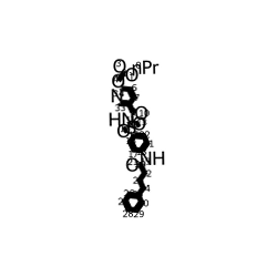 CCCOC(=O)Oc1ccc(C(=O)NS(=O)(=O)c2ccc(NC(=O)CCCc3ccccc3)cc2)cn1